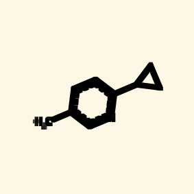 [CH2]c1ccc(C2CC2)nc1